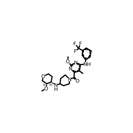 COc1nc(Nc2cccc(C(F)(F)F)c2)c(C)c(C(=O)N2CCC(N[C@@H]3CCOC[C@@H]3OC)CC2)n1